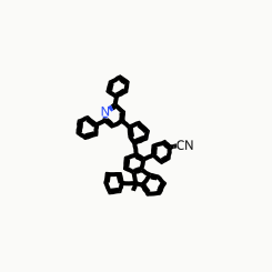 CC1(c2ccccc2)c2ccccc2-c2c1ccc(-c1cccc(-c3cc(-c4ccccc4)nc(-c4ccccc4)c3)c1)c2-c1ccc(C#N)cc1